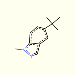 Cn1ncc2cc(C(C)(C)C)ccc21